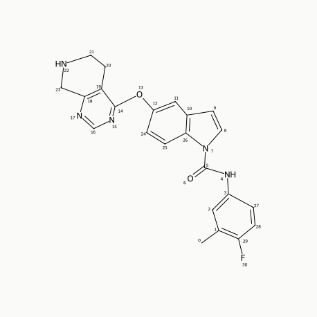 Cc1cc(NC(=O)n2ccc3cc(Oc4ncnc5c4CCNC5)ccc32)ccc1F